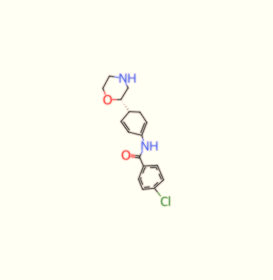 O=C(NC1=CCC([C@H]2CNCCO2)C=C1)c1ccc(Cl)cc1